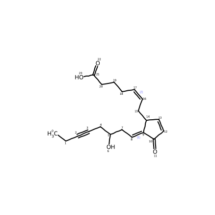 CCC#CCC(O)C/C=C1/C(=O)C=CC1C/C=C\CCCC(=O)O